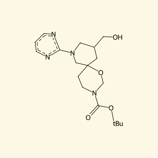 CC(C)(C)OC(=O)N1CCC2(CC(CO)CN(c3ncccn3)C2)OC1